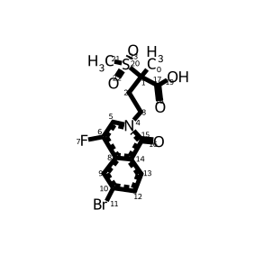 CC(CCn1cc(F)c2cc(Br)ccc2c1=O)(C(=O)O)S(C)(=O)=O